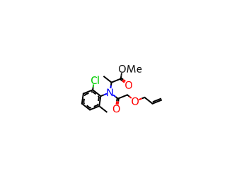 C=CCOCC(=O)N(c1c(C)cccc1Cl)C(C)C(=O)OC